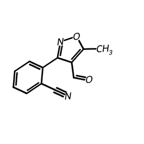 Cc1onc(-c2ccccc2C#N)c1C=O